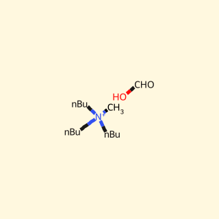 CCCC[N+](C)(CCCC)CCCC.O=CO